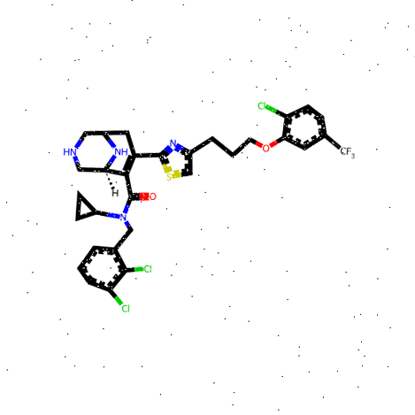 O=C(C1=C(c2nc(CCCOc3cc(C(F)(F)F)ccc3Cl)cs2)CC2CNC[C@H]1N2)N(Cc1cccc(Cl)c1Cl)C1CC1